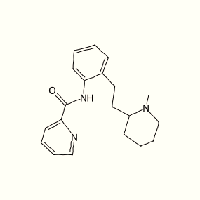 CN1CCCCC1CCc1ccccc1NC(=O)c1ccccn1